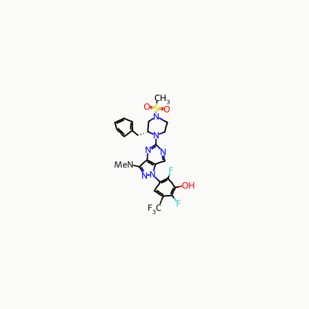 CNc1nn(-c2cc(C(F)(F)F)c(F)c(O)c2F)c2cnc(N3CCN(S(C)(=O)=O)C[C@H]3Cc3ccccc3)nc12